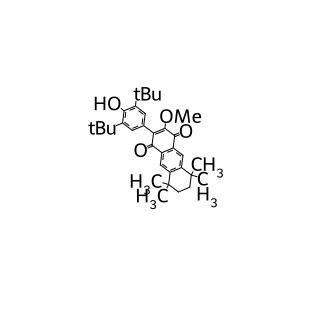 COC1=C(c2cc(C(C)(C)C)c(O)c(C(C)(C)C)c2)C(=O)c2cc3c(cc2C1=O)C(C)(C)CCC3(C)C